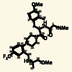 CNCC(=O)NC(Cc1ccc(OC)cc1C)C(=O)N1CCN(c2ccc(C(F)(F)F)cc2CNC(C)COC)CC1